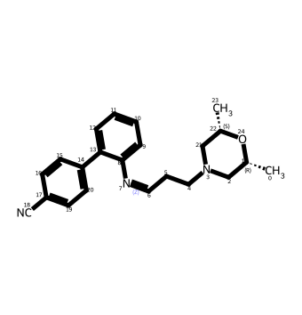 C[C@@H]1CN(CC/C=N\c2ccccc2-c2ccc(C#N)cc2)C[C@H](C)O1